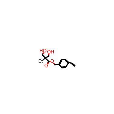 C=Cc1ccc(COC(=O)C(CC)(CO)CO)cc1